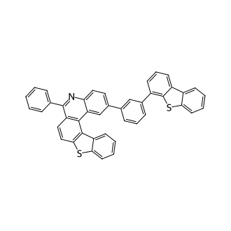 c1ccc(-c2nc3ccc(-c4cccc(-c5cccc6c5sc5ccccc56)c4)cc3c3c2ccc2sc4ccccc4c23)cc1